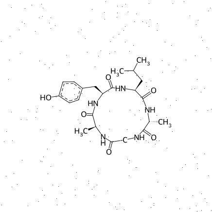 CC(C)C[C@@H]1NC(=O)[C@H](Cc2ccc(O)cc2)NC(=O)[C@H](C)NC(=O)CNC(=O)[C@@H](C)NC1=O